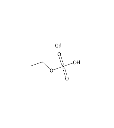 CCOS(=O)(=O)O.[Gd]